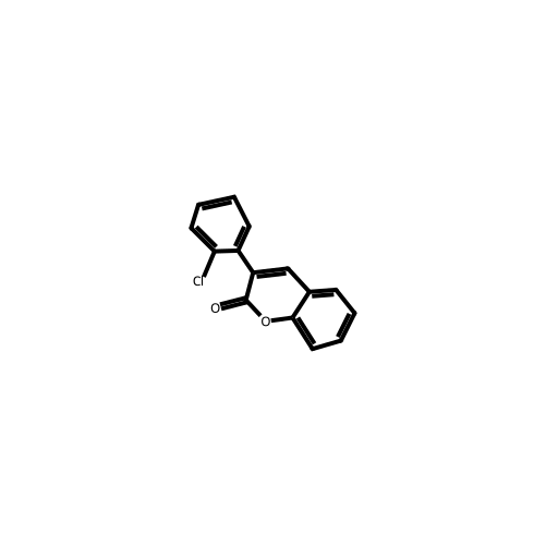 O=c1oc2ccccc2cc1-c1ccccc1Cl